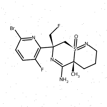 C[C@]12CCCN=[S@]1(=O)C[C@@](CF)(c1nc(Br)ccc1F)N=C2N